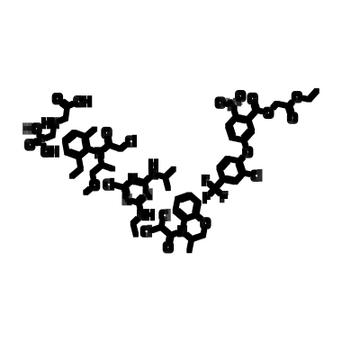 CC1COc2ccccc2N1C(=O)C(Cl)Cl.CCNc1nc(Cl)nc(NC(C)C)n1.CCOC(=O)COC(=O)c1cc(Oc2ccc(C(F)(F)F)cc2Cl)ccc1[N+](=O)[O-].CCc1cccc(C)c1N(C(=O)CCl)C(C)COC.O=C(O)CNCP(=O)(O)O